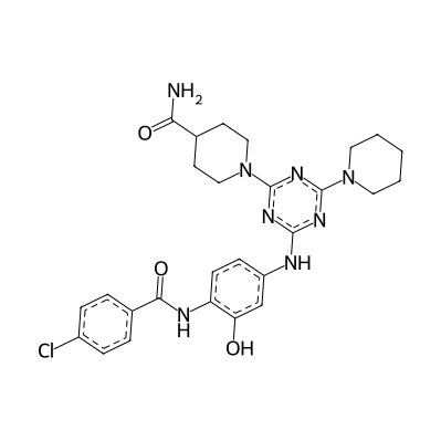 NC(=O)C1CCN(c2nc(Nc3ccc(NC(=O)c4ccc(Cl)cc4)c(O)c3)nc(N3CCCCC3)n2)CC1